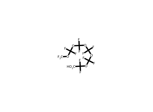 O=C(O)C(F)(F)OC(F)(F)OC(F)(F)OC(F)(F)OC(F)(F)OC(F)(F)F